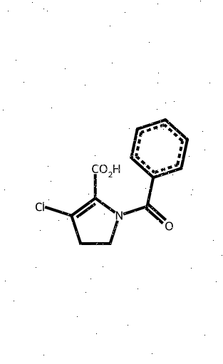 O=C(O)C1=C(Cl)CCN1C(=O)c1ccccc1